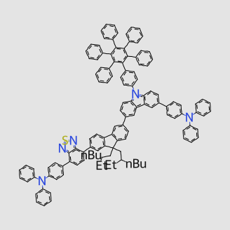 CCCCC(CC)CC1(CC(CC)CCCC)c2ccc(-c3ccc4c(c3)c3cc(-c5ccc(N(c6ccccc6)c6ccccc6)cc5)ccc3n4-c3ccc(-c4c(-c5ccccc5)c(-c5ccccc5)c(-c5ccccc5)c(-c5ccccc5)c4-c4ccccc4)cc3)cc2-c2ccc(-c3ccc(-c4ccc(N(c5ccccc5)c5ccccc5)cc4)c4nsnc34)cc21